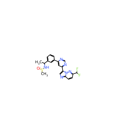 CC(N[S+](C)[O-])c1cccc(-c2cc(-c3cnc4ccc(C(F)F)nn34)ncn2)c1